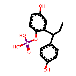 CCC(c1ccc(O)cc1)c1cc(O)ccc1OP(=O)(O)O